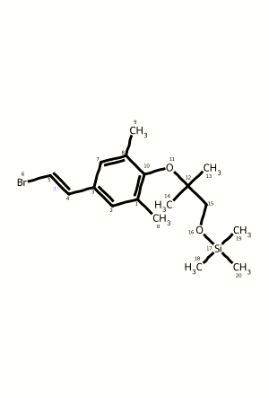 Cc1cc(/C=C/Br)cc(C)c1OC(C)(C)CO[Si](C)(C)C